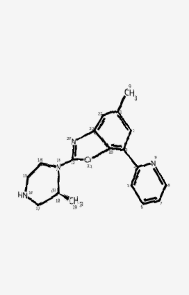 Cc1cc(-c2ccccn2)c2oc(N3CCNC[C@@H]3C)nc2c1